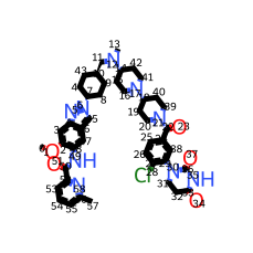 COc1cc2nn([C@H]3CC[C@H](CN(C)C4CCN(C5CCN(C(=O)c6ccc(Cl)c(N7CCC(=O)NC7=O)c6)CC5)CC4)CC3)cc2cc1NC(=O)c1cccc(C)n1